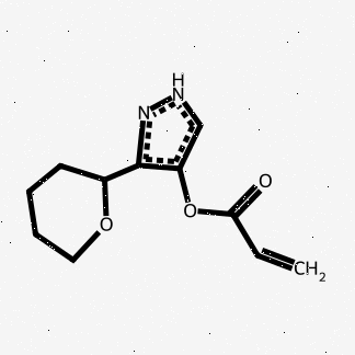 C=CC(=O)Oc1c[nH]nc1C1CCCCO1